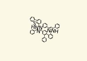 C1=C(c2ccccc2)N=C(c2ccccc2-c2ccc(C3=NC(c4cccc5c4sc4ccccc45)NC(c4ccccc4)=N3)cc2-c2ccccc2)NC1c1ccccc1